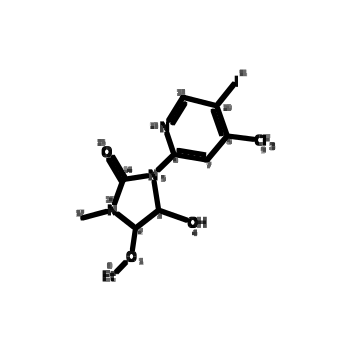 CCOC1C(O)N(c2cc(C(F)(F)F)c(I)cn2)C(=O)N1C